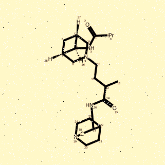 CC(C)C(=O)N[C@@H]1[C@@H]2C[C@H]1CN(CCC(C)C(=O)NC1CN3CCC1CC3)C2